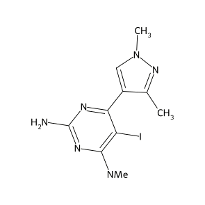 CNc1nc(N)nc(-c2cn(C)nc2C)c1I